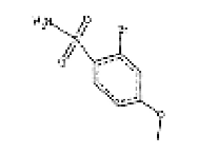 COc1ccc(S(N)(=O)=O)c(Br)c1